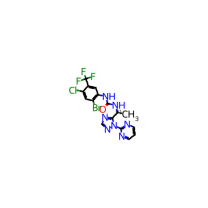 C[C@H](NC(=O)Nc1cc(C(F)(F)F)c(Cl)cc1Br)c1ncnn1-c1ncccn1